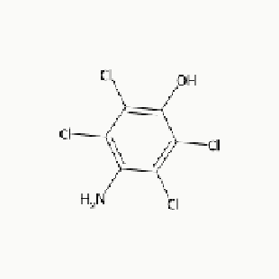 Nc1c(Cl)c(Cl)c(O)c(Cl)c1Cl